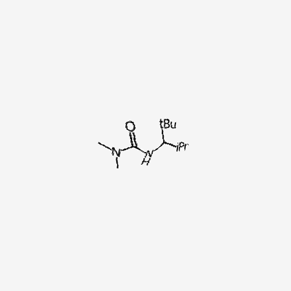 CC(C)C(NC(=O)N(C)C)C(C)(C)C